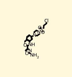 Nc1nc(C(=O)Nc2cc(N3CCN(S(=O)(=O)CCCCl)CC3)ccc2I)co1